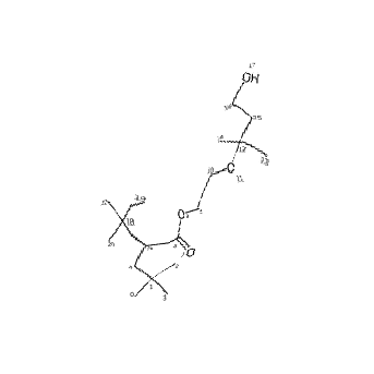 CC(C)(C)CC(C(=O)OCCOC(C)(C)CCO)C(C)(C)C